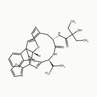 CCC(O)(CC)C(=O)N[C@H]1Cc2ccc3c(c2)C2(c4ccccc4N[C@H]2O3)c2oc(nc2-c2ncco2)[C@H](C(C)C)NC1=O